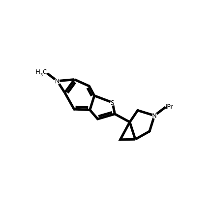 CC(C)N1CC2CC2(c2cc3cc4c(cc3s2)N4C)C1